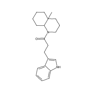 CC12CCCCC1N(C(=O)CCc1c[nH]c3ccccc13)CCC2